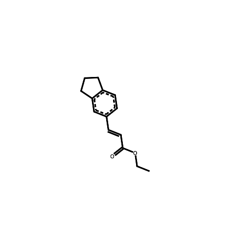 CCOC(=O)/C=C/c1ccc2c(c1)CCC2